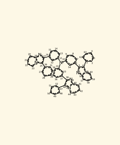 c1ccc(-c2c(-c3cccc(N(c4cccc(-c5nc6ccccn6c5-c5ccccc5)c4)c4cccc(-c5nc6ccccn6c5-c5ccccc5)c4)c3)nc3ccccn23)cc1